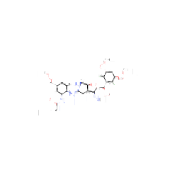 C=CC(=O)Nc1cc(COC)cc(C)c1Nc1cc2c(NC)c(C(=O)c3c(F)c(OC)cc(OC)c3F)oc2cn1